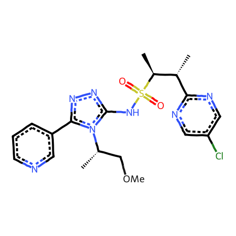 COC[C@H](C)n1c(NS(=O)(=O)[C@@H](C)[C@H](C)c2ncc(Cl)cn2)nnc1-c1cccnc1